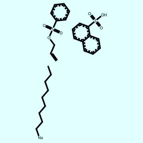 C=CCOS(=O)(=O)c1ccccc1.CCCCCCCC[CH2][Na].O=S(=O)(O)c1cccc2ccccc12